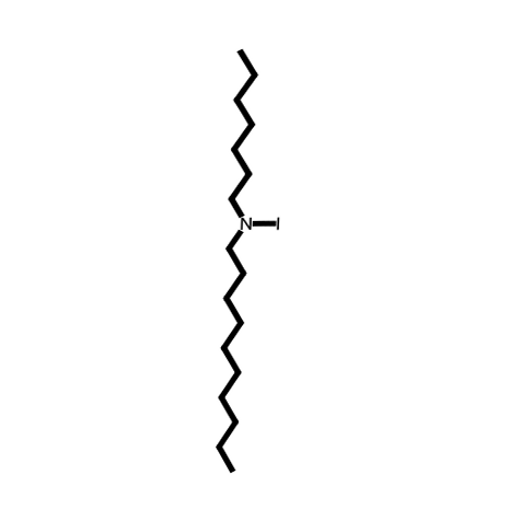 CCCCCCCCCCN(I)CCCCCCC